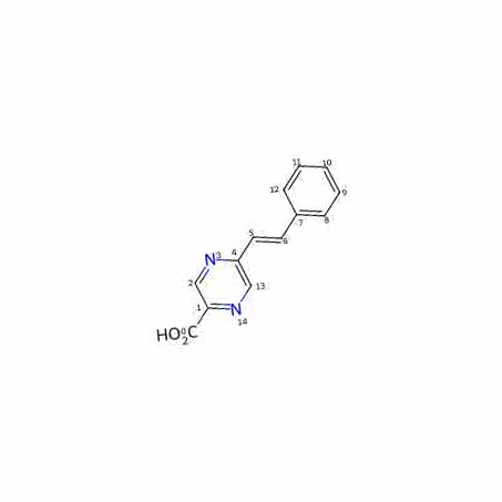 O=C(O)c1cnc(/C=C/c2ccccc2)cn1